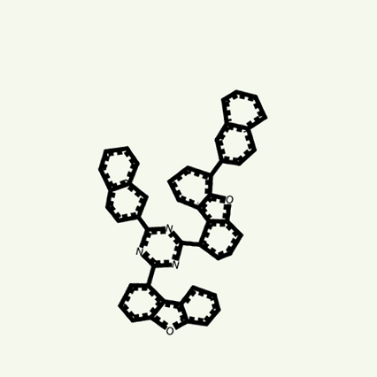 c1ccc2cc(-c3nc(-c4cccc5oc6ccccc6c45)nc(-c4cccc5oc6c(-c7ccc8ccccc8c7)cccc6c45)n3)ccc2c1